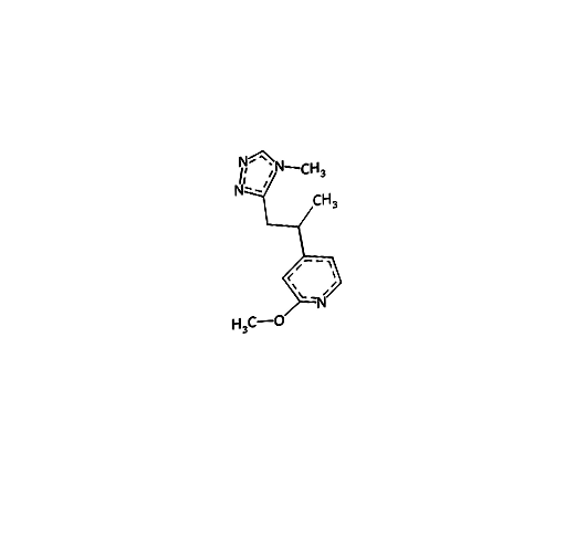 COc1cc(C(C)Cc2nncn2C)ccn1